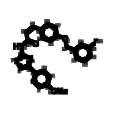 COc1ccc(-c2csc(NC(=O)/C=C\c3ccc(OCc4cccc(F)c4)cc3)n2)cc1